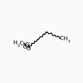 C=CC(=O)OC(=O)CCCCCCCCCCC/C=C\CCCCCCCC